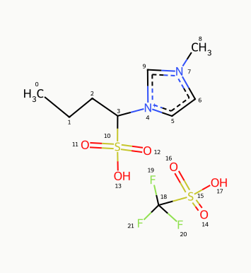 CCCC([n+]1ccn(C)c1)S(=O)(=O)O.O=S(=O)(O)C(F)(F)F